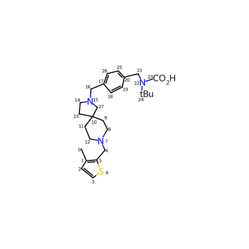 Cc1ccsc1CN1CCC2(CC1)CCN(Cc1ccc(CN(C(=O)O)C(C)(C)C)cc1)C2